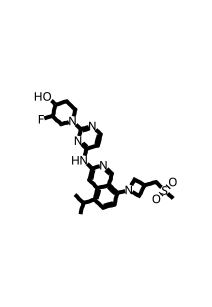 CC(C)c1ccc(N2CC(CS(C)(=O)=O)C2)c2cnc(Nc3ccnc(N4CCC(O)C(F)C4)n3)cc12